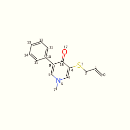 C=CCSc1cn(C)cc(-c2ccccc2)c1=O